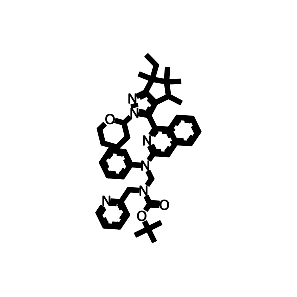 CCC1(C)c2nn(C3CCCCO3)c(-c3nc(N(CN(Cc4ccccn4)C(=O)OC(C)(C)C)c4ccccc4)cc4ccccc34)c2C(C)C1(C)C